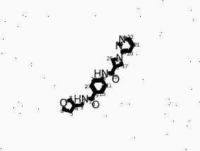 O=C(NCC1CCOC1)c1ccc(NC(=O)C2CN(c3cccnn3)C2)cc1